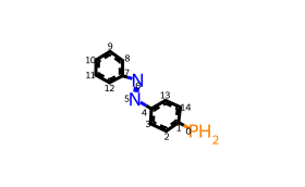 Pc1ccc(/N=N/c2ccccc2)cc1